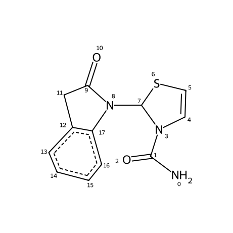 NC(=O)N1C=CSC1N1C(=O)Cc2ccccc21